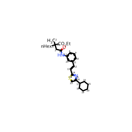 CCCCCCC(C)(CC(=O)Nc1cccc(C=Cc2nc(C3CCCCC3)cs2)c1)C(=O)OCC